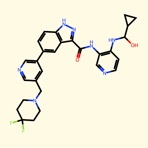 O=C(Nc1cnccc1NC(O)C1CC1)c1n[nH]c2ccc(-c3cncc(CN4CCC(F)(F)CC4)c3)cc12